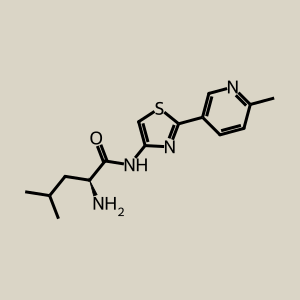 Cc1ccc(-c2nc(NC(=O)[C@@H](N)CC(C)C)cs2)cn1